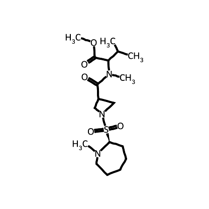 COC(=O)C(C(C)C)N(C)C(=O)C1CN(S(=O)(=O)[C@H]2CCCCCN2C)C1